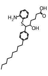 CCCCCCCCCc1ccc(C(Sc2ccccc2N)C(O)CCCC(=O)O)cc1